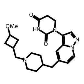 COC1CC(CN2CCC(Cc3ccn4ncc(N5CCC(=O)NC5=O)c4c3)CC2)C1